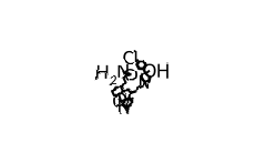 NC(=O)CCC1C=CC=C2Oc3ncccc3C(=CCCN3CCC(O)(c4ccc(Cl)cc4)CC3)C=C21